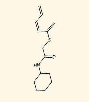 C=C/C=C\C(=C)SCC(=O)NC1CCCCC1